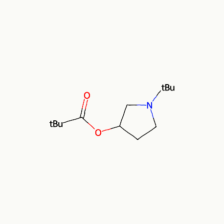 CC(C)(C)C(=O)OC1CCN(C(C)(C)C)C1